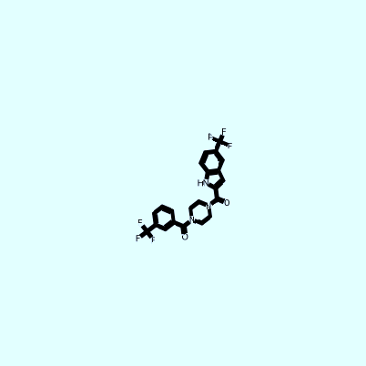 O=C(c1cccc(C(F)(F)F)c1)N1CCN(C(=O)c2cc3cc(C(F)(F)F)ccc3[nH]2)CC1